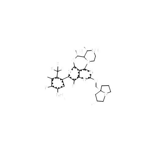 Cc1c(F)c(N)cc(-c2nc3c4c(nc(OC[C@@]56CCCN5C[C@H](F)C6)nc4c2F)N2CCN[C@H](C)[C@@H]2[C@H](C)O3)c1C(F)(F)F